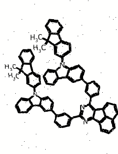 CC1(C)c2ccccc2-c2ccc(-n3c4ccccc4c4cc(-c5cccc(-c6nc(-c7cccc(-c8ccc9c(c8)c8ccccc8n9-c8ccc9c(c8)C(C)(C)c8ccccc8-9)c7)c7c(n6)-c6cccc8cccc-7c68)c5)ccc43)cc21